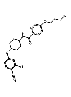 N#Cc1ccc(O[C@H]2CC[C@H](NC(=O)c3ccc(OCCCBr)cn3)CC2)cc1Cl